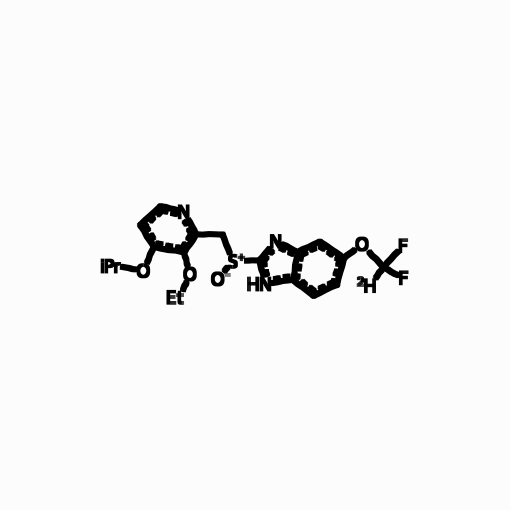 [2H]C(F)(F)Oc1ccc2[nH]c([S+]([O-])Cc3nccc(OC(C)C)c3OCC)nc2c1